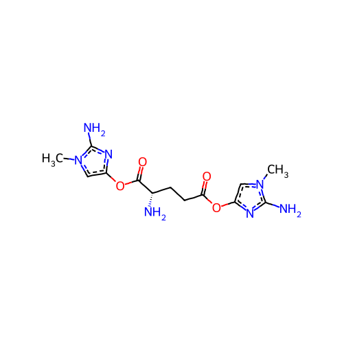 Cn1cc(OC(=O)CC[C@H](N)C(=O)Oc2cn(C)c(N)n2)nc1N